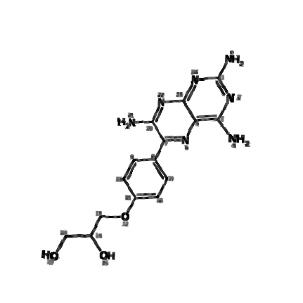 Nc1nc(N)c2nc(-c3ccc(OCC(O)CO)cc3)c(N)nc2n1